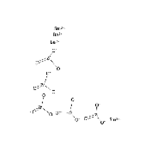 [Ba+2].[Ba+2].[O]=[Zr]([O-])[O-].[O]=[Zr]([O-])[O-].[O]=[Zr]([O-])[O-].[O]=[Zr]([O-])[O-].[O]=[Zr]([O-])[O-].[Sm+3].[Sm+3]